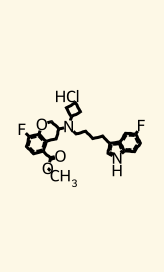 COC(=O)c1ccc(F)c2c1CC(N(CCCCc1c[nH]c3ccc(F)cc13)C1CCC1)CO2.Cl